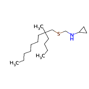 CCCCCCCC(C)(CCCC)CSCNC1CC1